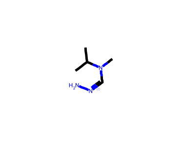 CC(C)N(C)/C=N\N